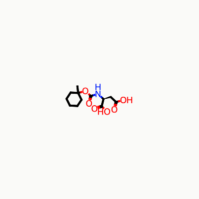 CC1(OC(=O)N[C@@H](CC(=O)O)C(=O)O)CCCCC1